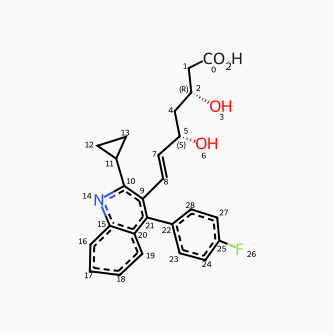 O=C(O)C[C@H](O)C[C@H](O)C=Cc1c(C2CC2)nc2ccccc2c1-c1ccc(F)cc1